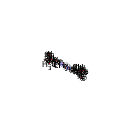 CC1(C)c2cc(/C=C/c3ccc(/C=C/c4ccc5c(c4)C(C)(C)c4cc(N(c6ccc7ccccc7c6)c6cccc7ccccc67)ccc4-5)cc3)ccc2-c2ccc(N(c3ccc4ccccc4c3)c3cccc4ccccc34)cc21